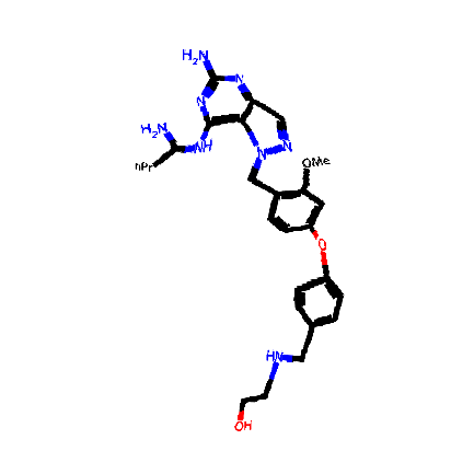 CCCC(N)Nc1nc(N)nc2cnn(Cc3ccc(Oc4ccc(CNCCO)cc4)cc3OC)c12